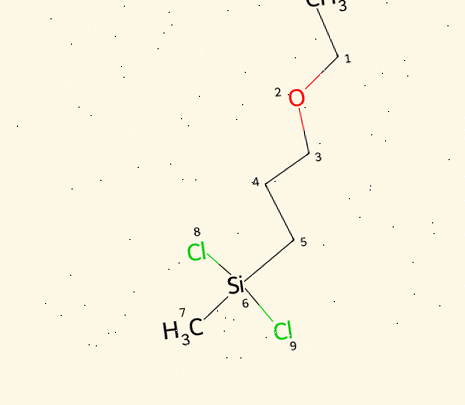 CCOCCC[Si](C)(Cl)Cl